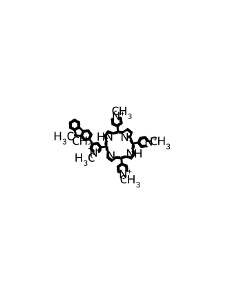 C[n+]1ccc(-c2c3nc(c(-c4cc[n+](C)cc4)c4ccc([nH]4)c(-c4cc(-c5ccc6c(c5)C(C)(C)c5ccccc5-6)c[n+](C)c4)c4nc(c(-c5cc[n+](C)cc5)c5ccc2[nH]5)C=C4)C=C3)cc1